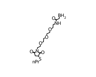 BCC(=O)NCCOCCOCCOCCN1C(=O)CC(SCCC)C1=O